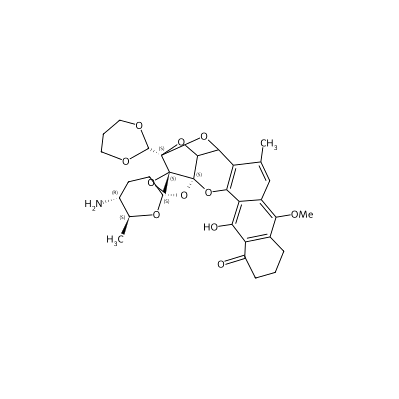 COc1c2c(c(O)c3c4c(c(C)cc13)C1O[C@]3(C5OCCCO5)OC1[C@@](O[C@H]1CC[C@@H](N)[C@H](C)O1)(O4)[C@@]31CO1)C(=O)CCC2